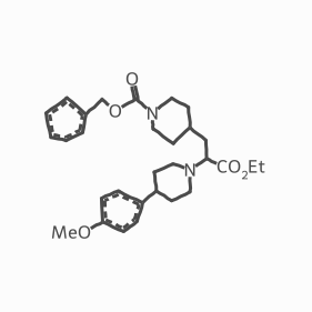 CCOC(=O)C(CC1CCN(C(=O)OCc2ccccc2)CC1)N1CCC(c2ccc(OC)cc2)CC1